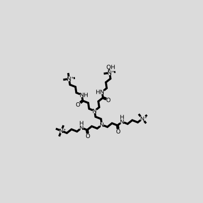 C[N+](C)(C)CCCNC(=O)CCN(CCC(=O)NCCC[N+](C)(C)C)CCN(CCC(=O)NCCC[N+](C)(C)C)CCC(=O)NCCC[N+](C)(C)O